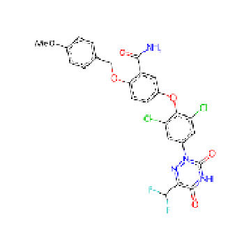 COc1ccc(COc2ccc(Oc3c(Cl)cc(-n4nc(C(F)F)c(=O)[nH]c4=O)cc3Cl)cc2C(N)=O)cc1